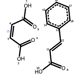 O=C(O)/C=C\C(=O)O.O=C(O)C=Cc1ccccc1